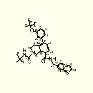 CC(C)(C)NC(=O)N1CCC2=C(c3cccc(OC(F)(F)F)c3)C=CC(C(=O)NCc3cn4ccsc4n3)C2C1